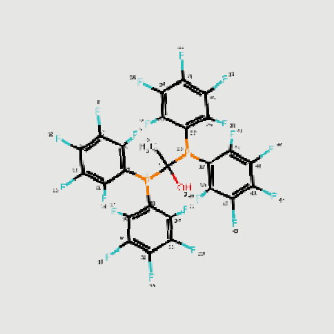 CC(O)(P(c1c(F)c(F)c(F)c(F)c1F)c1c(F)c(F)c(F)c(F)c1F)P(c1c(F)c(F)c(F)c(F)c1F)c1c(F)c(F)c(F)c(F)c1F